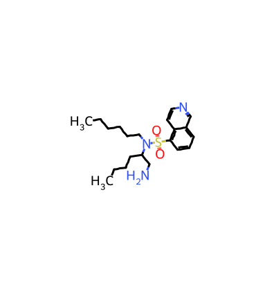 CCCCCCN(C(CN)CCCC)S(=O)(=O)c1cccc2cnccc12